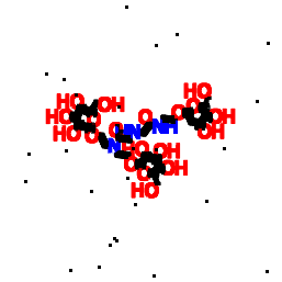 O=C(CNCC(=O)N(CCO[C@H]1O[C@H](CO)[C@@H](O)[C@H](O)[C@@H]1O)CCO[C@H]1O[C@H](CO)[C@@H](O)[C@H](O)[C@@H]1O)NCCO[C@H]1C[C@@H](O)[C@H](O)[C@@H](CO)O1